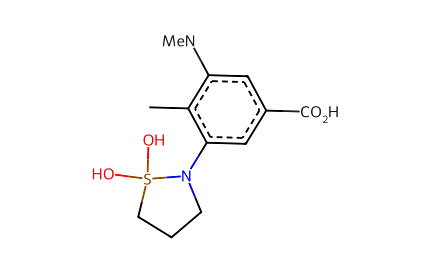 CNc1cc(C(=O)O)cc(N2CCCS2(O)O)c1C